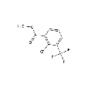 COC(=O)c1cccc(C(F)(F)F)c1Cl